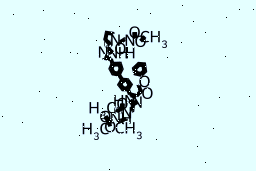 CCCN(Cc1nc(C(=O)COc2ccccc2)c(-c2ccc(-c3ccc(-c4cnc([C@@H]5CCCN5C(=O)CNC(=O)OC)[nH]4)cc3)cc2)[nH]1)C(=O)[C@H](C)NC(=O)OC